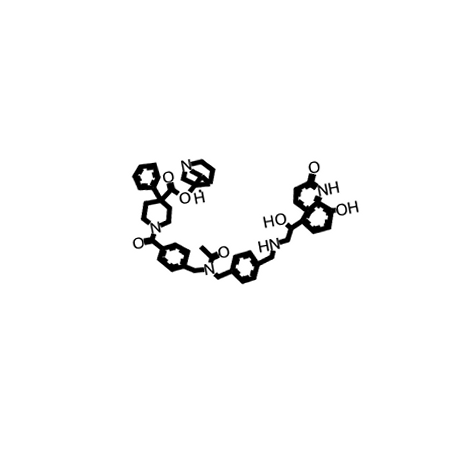 CC(=O)N(Cc1ccc(CNCC(O)c2ccc(O)c3[nH]c(=O)ccc23)cc1)Cc1ccc(C(=O)N2CCC(C(=O)O[C@H]3CN4CCC3CC4)(c3ccccc3)CC2)cc1